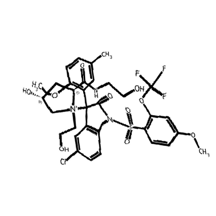 COc1ccc(S(=O)(=O)N2C(=O)C(c3cc(C)ccc3OC)([N+]3(CCO)C[C@H](O)C[C@H]3C(=O)NCCO)c3cc(Cl)ccc32)c(OC(F)(F)F)c1